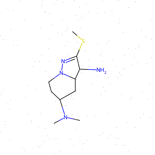 CSC1=NN2CCC(N(C)C)CC2C1N